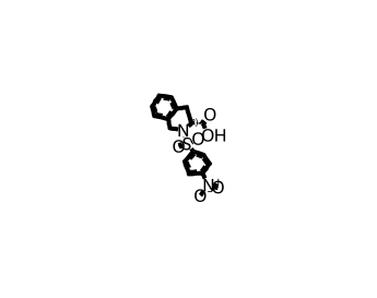 O=C(O)[C@H]1Cc2ccccc2CN1S(=O)(=O)c1ccc([N+](=O)[O-])cc1